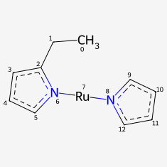 CCc1ccc[n]1[Ru][n]1cccc1